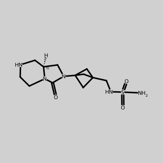 NS(=O)(=O)NCC12CC(N3C[C@@H]4CNCCN4C3=O)(C1)C2